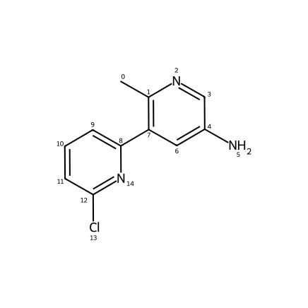 Cc1ncc(N)cc1-c1cccc(Cl)n1